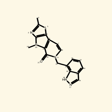 Cc1nc2c(s1)c1ccn(Cc3cccc4cn[nH]c34)c(=O)c1n2C